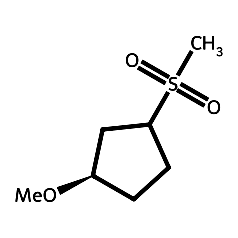 CO[C@@H]1CCC(S(C)(=O)=O)C1